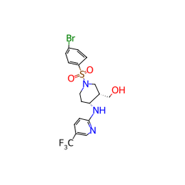 O=S(=O)(c1ccc(Br)cc1)N1CC[C@@H](Nc2ccc(C(F)(F)F)cn2)[C@@H](CO)C1